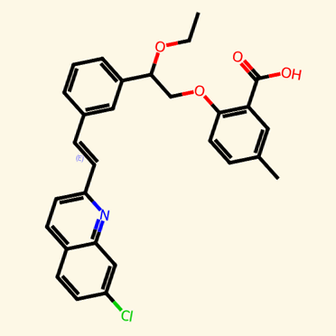 CCOC(COc1ccc(C)cc1C(=O)O)c1cccc(/C=C/c2ccc3ccc(Cl)cc3n2)c1